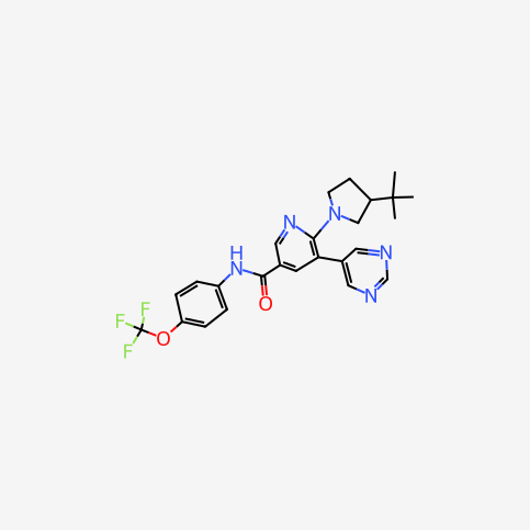 CC(C)(C)C1CCN(c2ncc(C(=O)Nc3ccc(OC(F)(F)F)cc3)cc2-c2cncnc2)C1